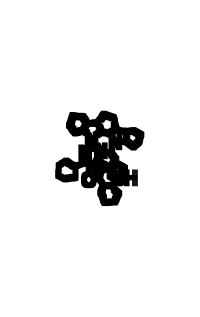 O=C(c1ccc(-n2c3ccccc3c3ccc4c5ccccc5n(-c5nc(C6=CCCC=C6)nc(-c6ccccc6)n5)c4c32)cc1)c1ccccc1O